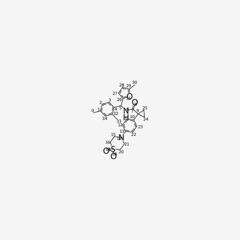 Cc1ccc(C(NC(=O)C2(c3ccc(N4CCS(=O)(=O)CC4)cc3)CC2)c2ccc(C)o2)c(C)c1